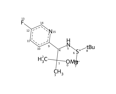 COC(C)(C)C(N[S+]([O-])C(C)(C)C)c1ccc(F)cn1